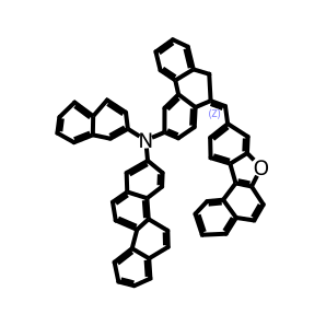 C(=C1\Cc2ccccc2-c2cc(N(c3ccc4ccccc4c3)c3ccc4c(ccc5c6ccccc6ccc45)c3)ccc21)/c1ccc2c(c1)oc1ccc3ccccc3c12